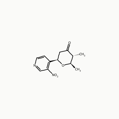 C[C@H]1O[C@@H](c2ccncc2[N+](=O)[O-])CC(=O)[C@@H]1C